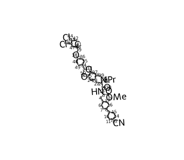 COC(=O)C(Cc1ccc(-c2ccc(C#N)cc2)cc1)NC(=O)C1Cc2cc3c(cc2CN1C(C)C)OC(c1ccc(OCc2ccc(Cl)c(Cl)c2)cc1)CO3